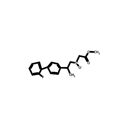 COC(=O)C[S+]([O-])CC(C)c1ccc(-c2ccccc2F)cc1